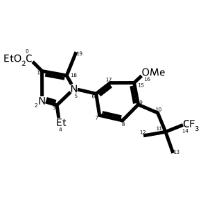 CCOC(=O)c1nc(CC)n(-c2ccc(CC(C)(C)C(F)(F)F)c(OC)c2)c1C